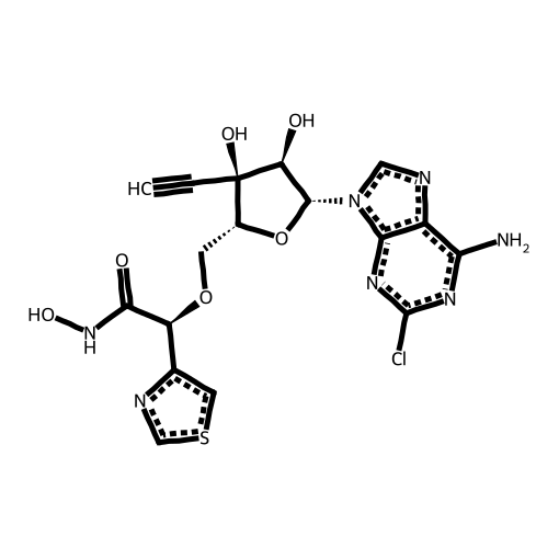 C#C[C@@]1(O)[C@@H](CO[C@H](C(=O)NO)c2cscn2)O[C@@H](n2cnc3c(N)nc(Cl)nc32)[C@@H]1O